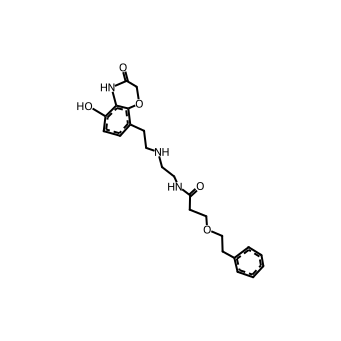 O=C(CCOCCc1ccccc1)NCCNCCc1ccc(O)c2c1OCC(=O)N2